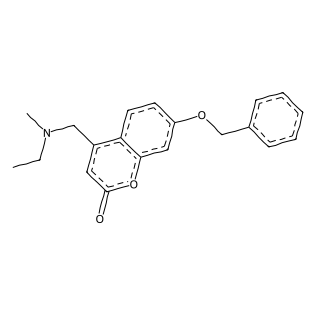 CCN(C)Cc1cc(=O)oc2cc(OCc3ccccc3)ccc12